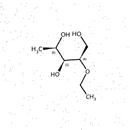 CCO[C@H](CO)[C@@H](O)[C@@H](C)O